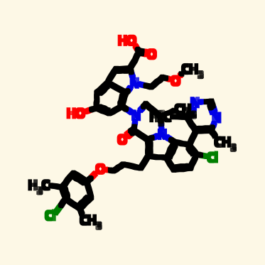 COCCn1c(C(=O)O)cc2cc(O)cc(N3C[C@@H](C)n4c(c(CCCOc5cc(C)c(Cl)c(C)c5)c5ccc(Cl)c(-c6c(C)ncnc6C)c54)C3=O)c21